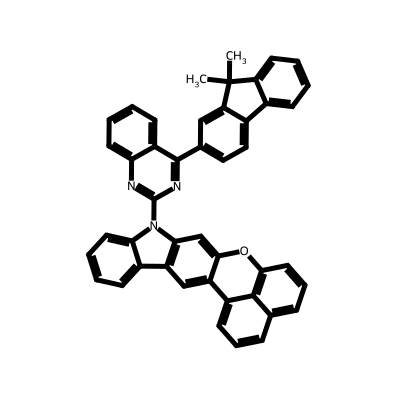 CC1(C)c2ccccc2-c2ccc(-c3nc(-n4c5ccccc5c5cc6c(cc54)Oc4cccc5cccc-6c45)nc4ccccc34)cc21